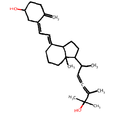 C=C1CCC(O)C/C1=C/C=C1\CCCC2(C)C1CCC2C(C)C=C=C(C)C(C)(C)O